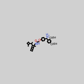 COc1ccc(C(N)c2ccc(OCC(=O)NCC3(C)C(C(C)C4CCC4C)C4C5CCC5C43)cc2)c(OC)c1